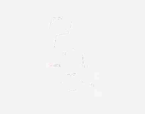 O=C1c2cccc([N+](=O)[O-])c2NCCN1Cc1ccccc1